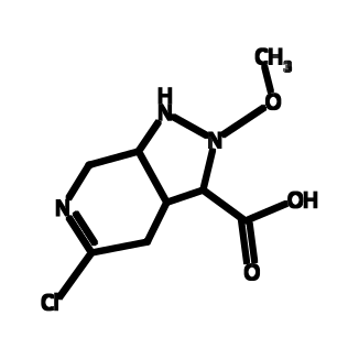 CON1NC2CN=C(Cl)CC2C1C(=O)O